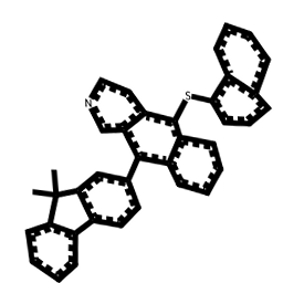 CC1(C)c2ccccc2-c2ccc(-c3c4ccccc4c(Sc4cccc5ccccc45)c4ccncc34)cc21